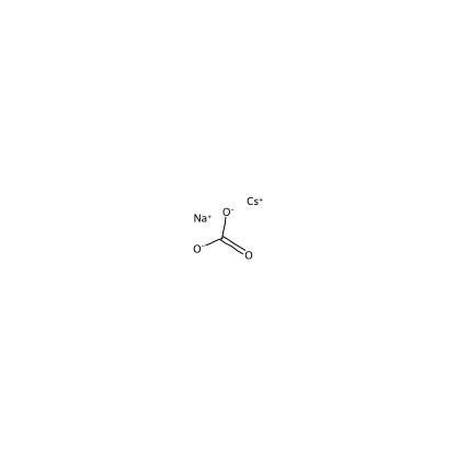 O=C([O-])[O-].[Cs+].[Na+]